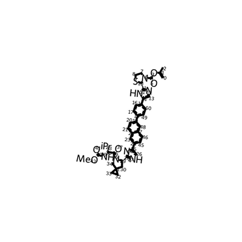 C=C(C)OC(=O)N1CCS[C@H]1c1ncc(-c2ccc(-c3ccc4cc(-c5c[nH]c([C@@H]6CC7(CC7)CN6C(=O)[C@@H](NC(=O)OC)C(C)C)n5)ccc4c3)cc2)[nH]1